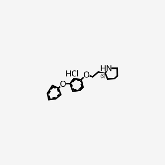 Cl.c1ccc(Oc2cccc(OCC[C@@H]3CCCCN3)c2)cc1